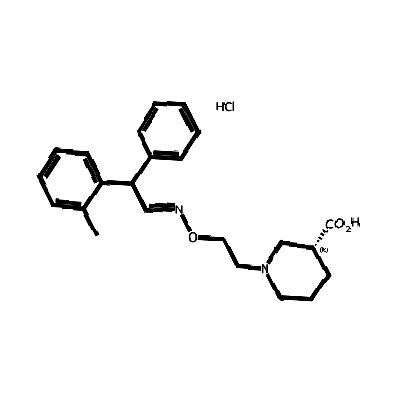 Cc1ccccc1C(C=NOCCN1CCC[C@@H](C(=O)O)C1)c1ccccc1.Cl